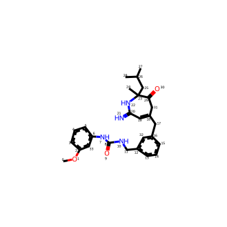 COc1cccc(NC(=O)NCc2cccc(CC3=CC(=N)NC(C)(CC(C)C)C(=O)C3)c2)c1